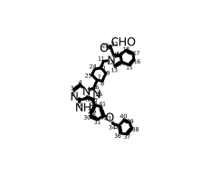 Nc1nccn2c(C3CCC(Cn4cc5ccccc5c4C(=O)C=O)CC3)nc(-c3cccc(OCc4ccccc4)c3)c12